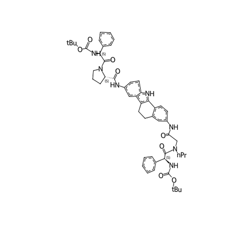 CCCN(CC(=O)Nc1ccc2c(c1)CCc1c-2[nH]c2ccc(NC(=O)[C@@H]3CCCN3C(=O)[C@@H](NC(=O)OC(C)(C)C)c3ccccc3)cc12)C(=O)[C@@H](NC(=O)OC(C)(C)C)c1ccccc1